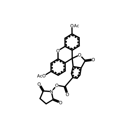 CC(=O)Oc1ccc2c(c1)Oc1cc(OC(C)=O)ccc1C21OC(=O)c2ccc(C(=O)ON3C(=O)CCC3=O)cc21